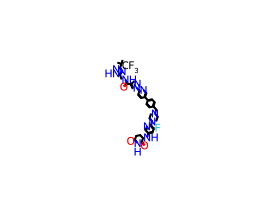 CC(C)(c1n[nH]c(CNC(=O)c2cnn(-c3ccc(-c4ccc(CN5CCN(c6ncc(NC7CCC(=O)NC7=O)cc6F)CC5)cc4)cn3)c2)n1)C(F)(F)F